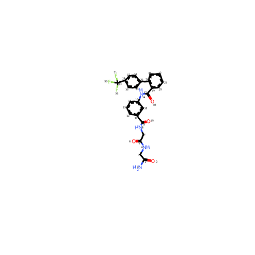 NC(=O)CNC(=O)CNC(=O)c1cccc(NC(=O)c2ccccc2-c2ccc(C(F)(F)F)cc2)c1